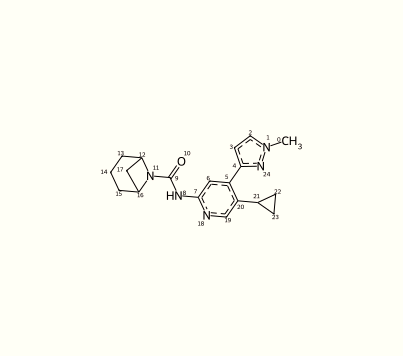 Cn1ccc(-c2cc(NC(=O)N3C4CCCC3C4)ncc2C2CC2)n1